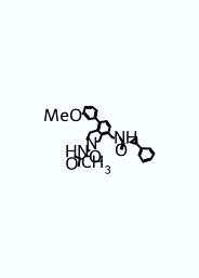 COc1cccc(-c2ccc(CNC(=O)[C@@H]3CC3c3ccccc3)c3c2CCN(C(=O)NC2(C)COC2)C3)c1